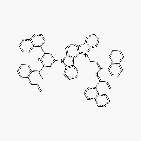 C=C/C=c1/cccc/c1=C(/C)c1cc(-n2c3ccccc3c3c4c(ccc32)c2ccccc2n4C/C=C(\N=C(/C=C)c2cccc3ccccc23)c2cccc3ccccc23)cc(-c2cccc3ccccc23)n1